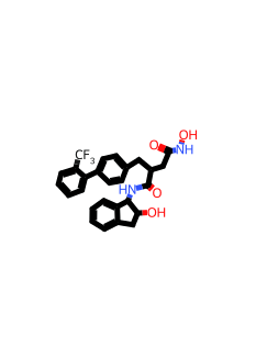 O=C(CC(Cc1ccc(-c2ccccc2C(F)(F)F)cc1)C(=O)NC1c2ccccc2CC1O)NO